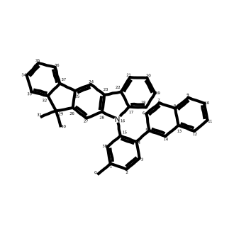 Cc1ccc(-c2ccc3ccccc3c2)c(-n2c3ccccc3c3cc4c(cc32)C(C)(C)c2ccccc2-4)c1